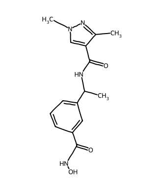 Cc1nn(C)cc1C(=O)NC(C)c1cccc(C(=O)NO)c1